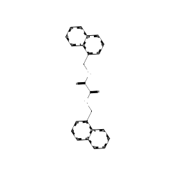 O=C(NCc1cccc2ccccc12)C(=O)NCc1cccc2ccccc12